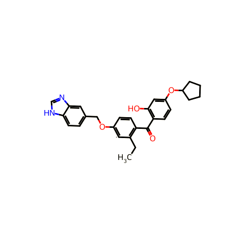 CCc1[c]c(OCc2ccc3[nH]cnc3c2)ccc1C(=O)c1ccc(OC2CCCC2)cc1O